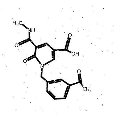 CNC(=O)c1cc(C(=O)O)cn(Cc2cccc(C(C)=O)c2)c1=O